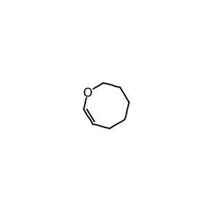 C1=COCCCCC1